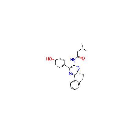 CC(C)CC(=O)Nc1nc2c(nc1-c1ccc(O)cc1)-c1ccccc1CC2